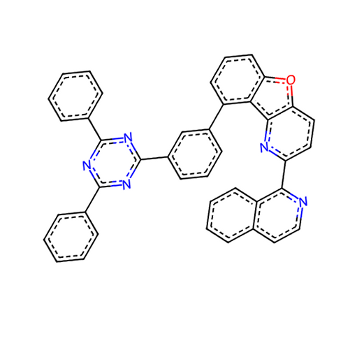 c1ccc(-c2nc(-c3ccccc3)nc(-c3cccc(-c4cccc5oc6ccc(-c7nccc8ccccc78)nc6c45)c3)n2)cc1